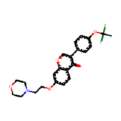 CC(F)(F)Oc1ccc(-c2coc3cc(OCCN4CCOCC4)ccc3c2=O)cc1